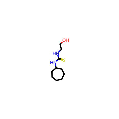 OCCNC(=S)NC1CCCCCC1